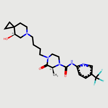 C[C@H]1C(=O)N(CCCCN2CCC3(CC3)[C@H](O)C2)CCN1C(=O)Nc1ccc(C(F)(F)F)cn1